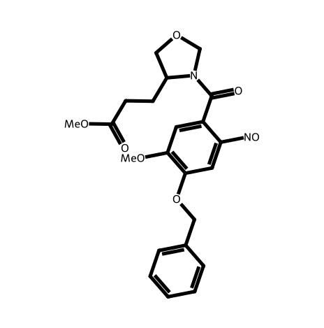 COC(=O)CCC1COCN1C(=O)c1cc(OC)c(OCc2ccccc2)cc1N=O